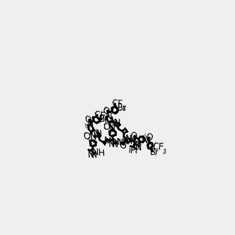 CNC(=O)c1cc(-n2c(=O)c3c(n4ncc(CC(C)C)c24)CN(C(=O)c2ccc(Br)c(C(F)(F)F)c2)[C@@H](C)C3)nn1CC1CCC1Cc1cnn2c3c(c(=O)n(-c4ccc(-c5[nH]nnc5CC5CC5Cc5cnn6c7c(c(=O)n(-c8ccc(-c9[nH]nnc9C)cc8)c56)C[C@H](C)N(C(=O)c5ccc(Br)c(C(F)(F)F)c5)C7)cc4)c12)C[C@H](C)N(C(=O)c1ccc(Br)c(C(F)(F)F)c1)C3